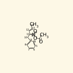 CC(=O)Oc1ccccc1Cc1cc(C)on1